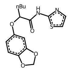 CCCCC(Oc1ccc2c(c1)OCO2)C(=O)Nc1nccs1